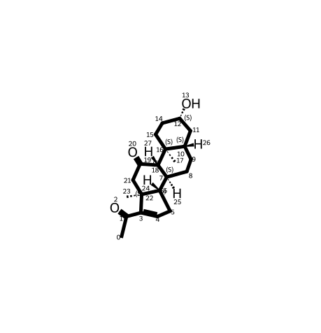 CC(=O)C1=CC[C@H]2[C@@H]3CC[C@H]4C[C@@H](O)CC[C@]4(C)[C@H]3C(=O)C[C@]12C